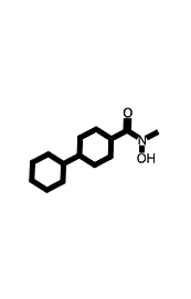 CN(O)C(=O)C1CCC(C2CCCCC2)CC1